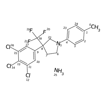 Cc1ccc(N2CCC(c3cc(Cl)c(Cl)c(Cl)c3)(C(F)(F)F)C2)cc1.N